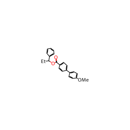 CCC(OC(=O)c1ccc(-c2ccc(OC)cc2)cc1)c1ccccc1